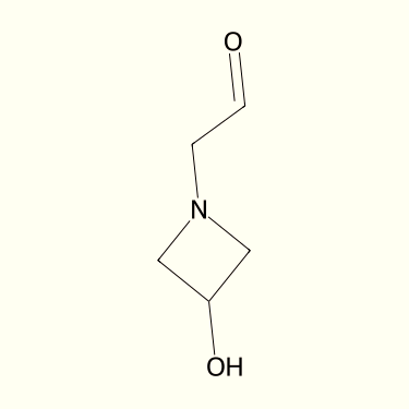 O=CCN1CC(O)C1